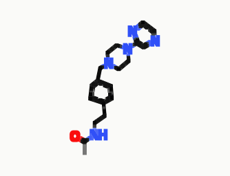 CC(=O)NCCc1ccc(CN2CCN(c3cnccn3)CC2)cc1